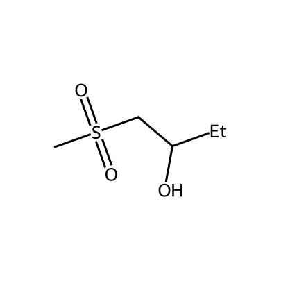 CCC(O)CS(C)(=O)=O